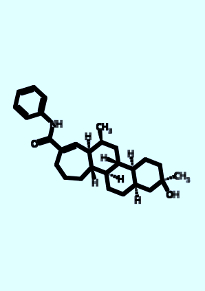 C[C@H]1C[C@H]2[C@@H](CC[C@@H]3C[C@](C)(O)CC[C@@H]32)[C@@H]2CCCC(C(=O)Nc3ccccc3)=C[C@H]21